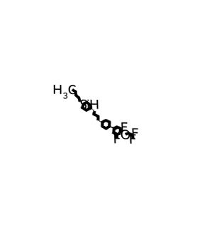 CCCCC[Si@H]1CC[C@H](CCCC[C@H]2CC[C@H](c3cc(F)c(OCC(F)F)c(F)c3)CC2)CC1